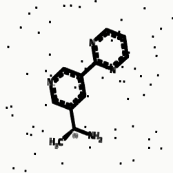 C[C@H](N)c1cncc(-c2ncccn2)c1